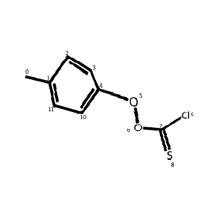 Cc1ccc(OOC(=S)Cl)cc1